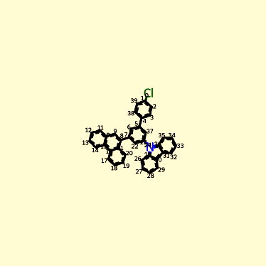 Clc1ccc(-c2cc(-c3cc4ccccc4c4ccccc34)cc(-n3c4ccccc4c4ccccc43)c2)cc1